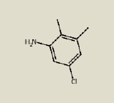 Cc1cc(Cl)cc(N)c1C